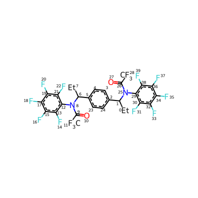 CCC(c1ccc(C(CC)N(C(=O)C(F)(F)F)c2c(F)c(F)c(F)c(F)c2F)cc1)N(C(=O)C(F)(F)F)c1c(F)c(F)c(F)c(F)c1F